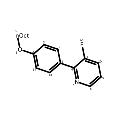 CCCCCCCCOc1ccc(-c2nc[c]cc2F)cc1